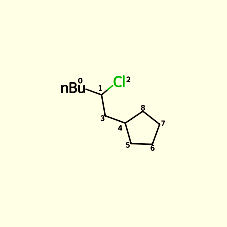 CCCCC(Cl)CC1CCCC1